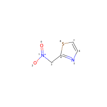 O=[N+]([O-])[CH]c1nccs1